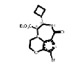 CCOC(=O)[C@H]1[C@H](C2CCC2)NC(=O)c2sc(Br)c3c2N1CCO3